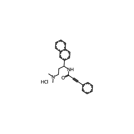 CN(C)CCC(NC(=O)C#Cc1ccccc1)c1ccc2ccccc2c1.Cl